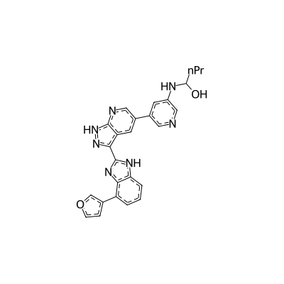 CCCC(O)Nc1cncc(-c2cnc3[nH]nc(-c4nc5c(-c6ccoc6)cccc5[nH]4)c3c2)c1